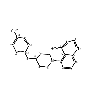 Oc1ccnc2cccc(N3CCC(Cc4ccc(Cl)cc4)CC3)c12